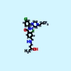 CC(O)CCNCc1ccc(C(=O)Nc2ccc(Cl)cc2N2CCN(CCC(F)(F)F)CC2)c(F)c1